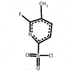 Cc1ccc(S(=O)(=O)Cl)nc1F